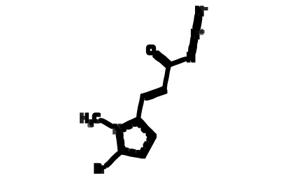 Cn1c(Br)ccc1/C=C/C(=O)N=[N+]=[N-]